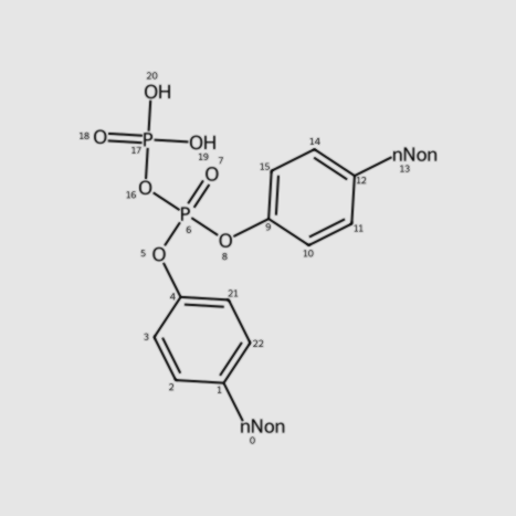 CCCCCCCCCc1ccc(OP(=O)(Oc2ccc(CCCCCCCCC)cc2)OP(=O)(O)O)cc1